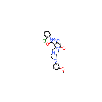 COc1cccc(N2CCN(Cc3c4c(=O)n(-c5ccccc5Cl)[nH]c4cc(=O)n3C)CC2)c1